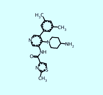 Cc1cc(C)cc(-c2cncc(NC(=O)c3csc(C)n3)c2N2CCC(N)CC2)c1